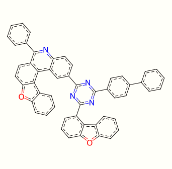 c1ccc(-c2ccc(-c3nc(-c4ccc5nc(-c6ccccc6)c6ccc7oc8ccccc8c7c6c5c4)nc(-c4cccc5oc6ccccc6c45)n3)cc2)cc1